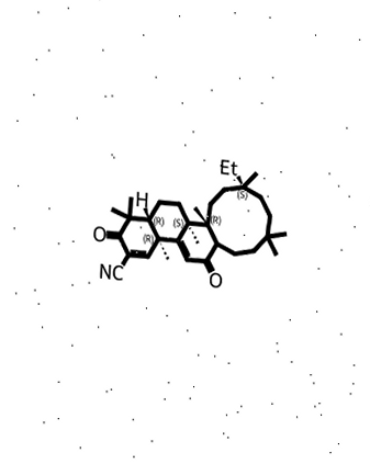 CC[C@@]1(C)CCC(C)(C)CCC2C(=O)C=C3[C@@]4(C)C=C(C#N)C(=O)C(C)(C)[C@@H]4CC[C@@]3(C)[C@]2(C)CC1